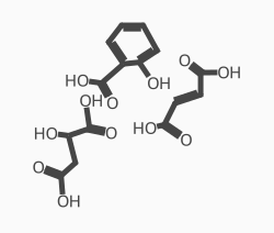 O=C(O)/C=C/C(=O)O.O=C(O)CC(O)C(=O)O.O=C(O)c1ccccc1O